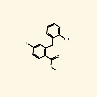 COC(=O)c1ccc(F)cc1Cc1ccccc1C